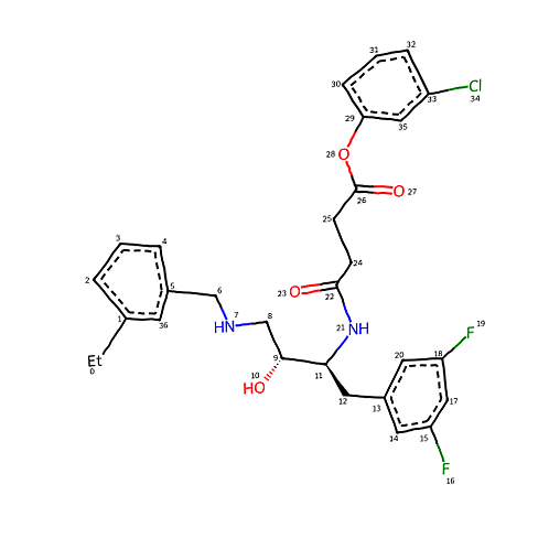 CCc1cccc(CNC[C@@H](O)[C@H](Cc2cc(F)cc(F)c2)NC(=O)CCC(=O)Oc2cccc(Cl)c2)c1